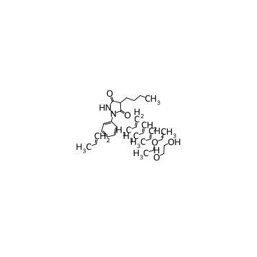 C=CC.C=CC.C=CC.C=CC.CCCCC1C(=O)NN(c2ccccc2)C1=O.CCOCC.OCCO